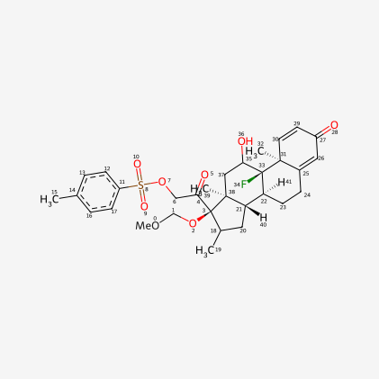 COCO[C@]1(C(=O)COS(=O)(=O)c2ccc(C)cc2)C(C)C[C@H]2[C@@H]3CCC4=CC(=O)C=C[C@]4(C)[C@@]3(F)C(O)C[C@@]21C